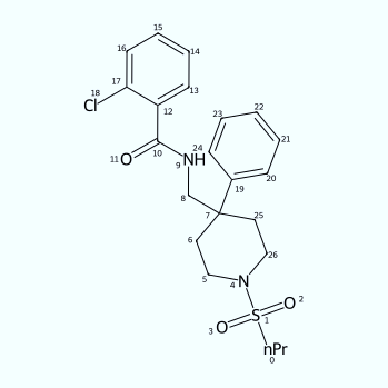 CCCS(=O)(=O)N1CCC(CNC(=O)c2ccccc2Cl)(c2ccccc2)CC1